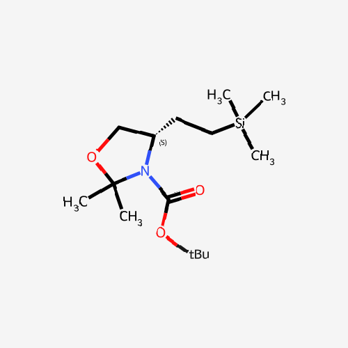 CC(C)(C)OC(=O)N1[C@@H](CC[Si](C)(C)C)COC1(C)C